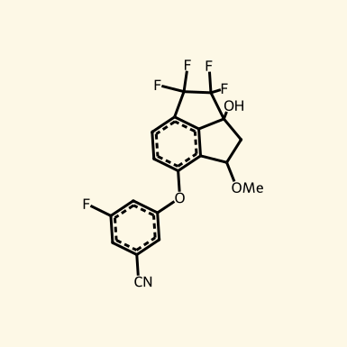 COC1CC2(O)c3c(ccc(Oc4cc(F)cc(C#N)c4)c31)C(F)(F)C2(F)F